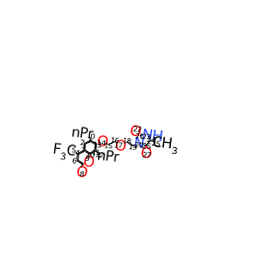 CCCc1cc2c(C(F)(F)F)cc(=O)oc2c(CCC)c1OCCOCCN1C(=O)NC(C)C1=O